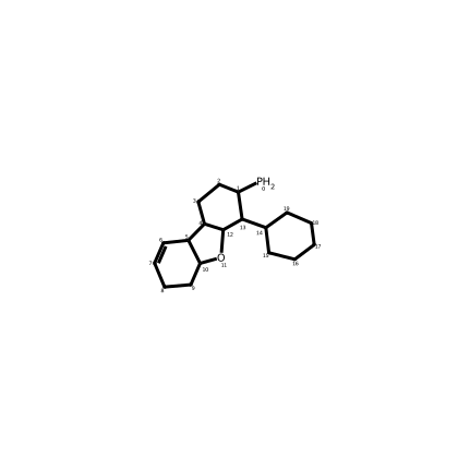 PC1CCC2C3C=CCCC3OC2C1C1CCCCC1